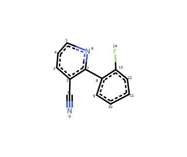 N#Cc1cccnc1-c1ccccc1F